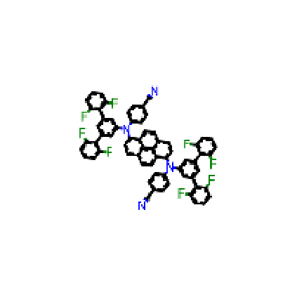 N#Cc1ccc(N(c2cc(-c3c(F)cccc3F)cc(-c3c(F)cccc3F)c2)c2ccc3ccc4c(N(c5ccc(C#N)cc5)c5cc(-c6c(F)cccc6F)cc(-c6c(F)cccc6F)c5)ccc5ccc2c3c54)cc1